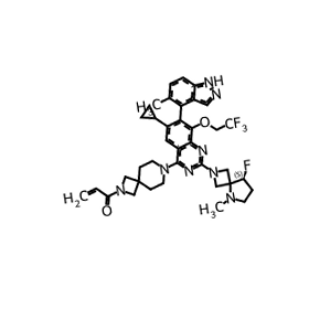 C=CC(=O)N1CC2(CCN(c3nc(N4CC5(C4)[C@@H](F)CCN5C)nc4c(OCC(F)(F)F)c(-c5c(C)ccc6[nH]ncc56)c(C5CC5)cc34)CC2)C1